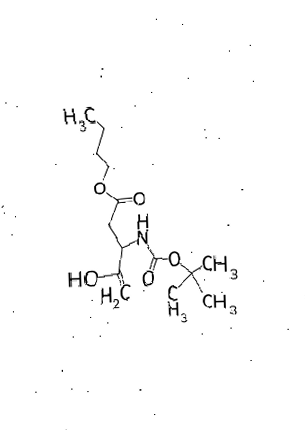 C=C(O)C(CC(=O)OCCCC)NC(=O)OC(C)(C)C